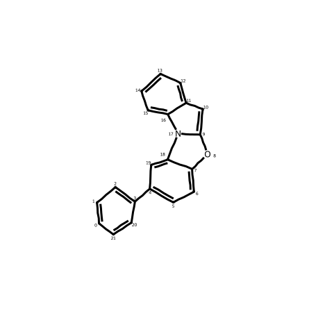 c1ccc(-c2ccc3oc4cc5ccccc5n4c3c2)cc1